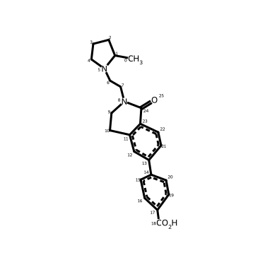 CC1CCCN1CCN1CCc2cc(-c3ccc(C(=O)O)cc3)ccc2C1=O